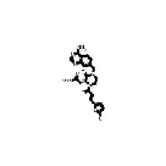 CNC(=O)C[C@H]1C(=O)N(Cc2ccc3c(N)ncnc3c2)CCN1C(=O)C=Cc1ccc(Cl)s1